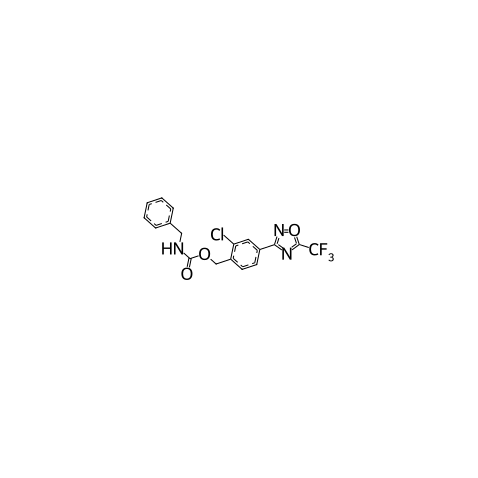 O=C(NCc1ccccc1)OCc1ccc(-c2noc(C(F)(F)F)n2)cc1Cl